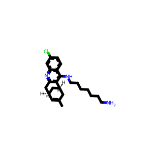 CC1=C[C@H]2Cc3nc4cc(Cl)ccc4c(NCCCCCCCN)c3[C@@H](C1)C2